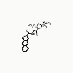 CS(=O)(=O)[C@@H]1C[C@@H](C(=O)O)N(C(=O)CNC(=O)c2ccc3cc4ccccc4cc3c2)C1